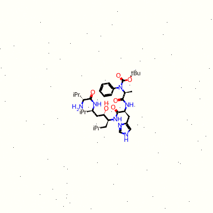 CC(C)C[C@H](NC(=O)[C@H](Cc1c[nH]cn1)NC(=O)[C@H](C)N(C(=O)OC(C)(C)C)c1ccccc1)[C@@H](O)C[C@H](NC(=O)[C@H](N)C(C)C)C(C)C